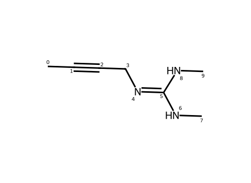 CC#CCN=C(NC)NC